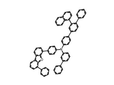 c1ccc(-c2cccc(N(c3ccc(-c4ccc(-c5ccccc5)c(-c5cccc6ccccc56)c4)cc3)c3ccc(-c4cccc5c4oc4c(-c6ccccc6)cccc45)cc3)c2)cc1